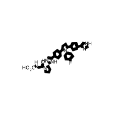 O=C(O)NCC(=O)N1CCC[C@H]1C1NC=C(c2ccc(C3CCC(c4ccc(-c5c[nH]cn5)cc4)N3c3ccc(F)cc3)cc2)N1